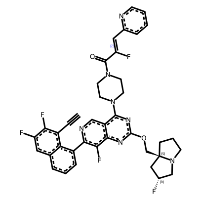 C#Cc1c(F)c(F)cc2cccc(-c3ncc4c(N5CCN(C(=O)/C(F)=C/c6ccccn6)CC5)nc(OC[C@@]56CCCN5C[C@H](F)C6)nc4c3F)c12